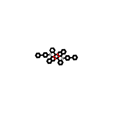 C1=CC(c2ccc(-c3ccccc3N(c3ccc(-c4ccccc4)cc3)c3cccc4ccccc34)cc2)=C(N(c2ccc(-c3ccccc3)cc2)c2cccc3ccccc23)CC1